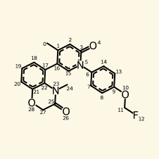 Cc1cc(=O)n(-c2ccc(OCF)cc2)cc1-c1cccc2c1N(C)C(=O)CO2